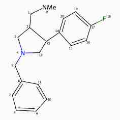 CNCC1CN(Cc2ccccc2)CC1c1ccc(F)cc1